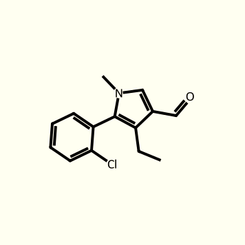 CCc1c(C=O)cn(C)c1-c1ccccc1Cl